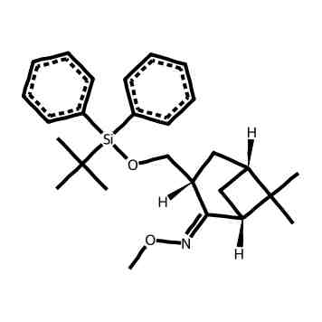 CON=C1[C@H](CO[Si](c2ccccc2)(c2ccccc2)C(C)(C)C)C[C@H]2C[C@@H]1C2(C)C